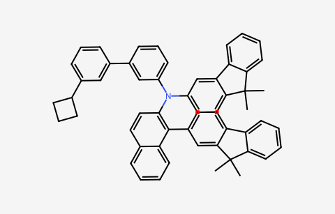 CC1(C)c2ccccc2-c2cc(N(c3cccc(-c4cccc(C5CCC5)c4)c3)c3ccc4ccccc4c3-c3ccc4c(c3)C(C)(C)c3ccccc3-4)ccc21